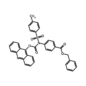 Cc1ccc(S(=O)(=O)N(C(=O)Oc2c3ccccc3nc3ccccc23)c2ccc(C(=O)OCc3ccccc3)cc2)cc1